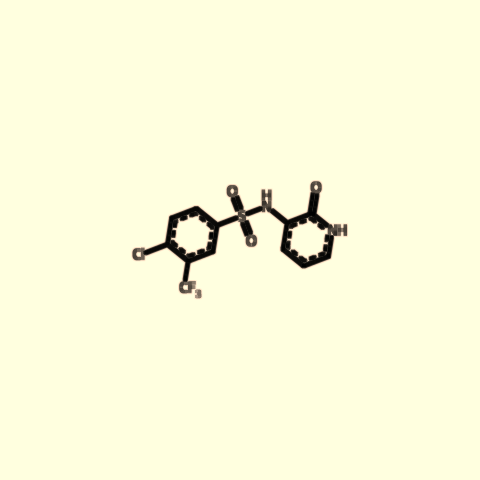 O=c1[nH]cccc1NS(=O)(=O)c1ccc(Cl)c(C(F)(F)F)c1